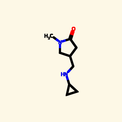 CN1CC(CNC2CC2)CC1=O